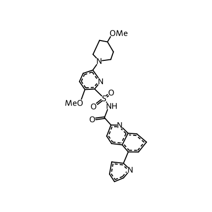 COc1ccc(N2CCC(OC)CC2)nc1S(=O)(=O)NC(=O)c1ccc2c(-c3ccccn3)cccc2n1